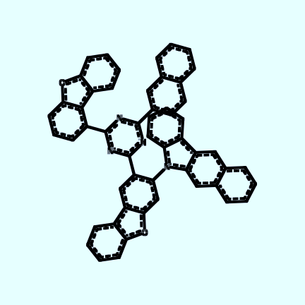 c1ccc2cc(-c3nc(-c4cc5c(cc4-n4c6ccccc6c6cc7ccccc7cc64)oc4ccccc45)nc(-c4cccc5oc6ccccc6c45)n3)ccc2c1